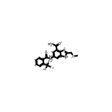 COCc1nc2c(C(N)=O)cc(NC(=O)c3ccccc3C(F)(F)F)cc2[nH]1